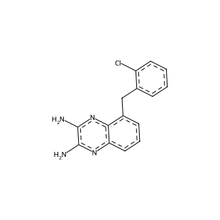 Nc1nc2cccc(Cc3ccccc3Cl)c2nc1N